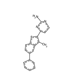 Cc1c(-c2ccnc(N)n2)sc2ccc(-c3ccccc3)cc12